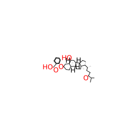 CC(C)C(=O)CC[C@@H](C)[C@H]1CC[C@H]2[C@@H]3C[C@H](O)[C@@H]4C[C@H](Oc5ccccc5C(=O)O)CC[C@]4(C)[C@H]3CC[C@]12C